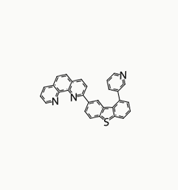 c1cncc(-c2cccc3sc4ccc(-c5ccc6ccc7cccnc7c6n5)cc4c23)c1